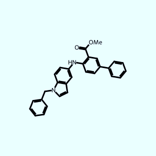 COC(=O)c1cc(-c2ccccc2)ccc1Nc1ccc2c(ccn2Cc2ccccc2)c1